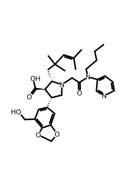 CCCCN(C(=O)CN1C[C@H](c2cc(CO)c3c(c2)OCO3)[C@@H](C(=O)O)[C@@H]1CC(C)(C)C=C(C)C)c1cccnc1